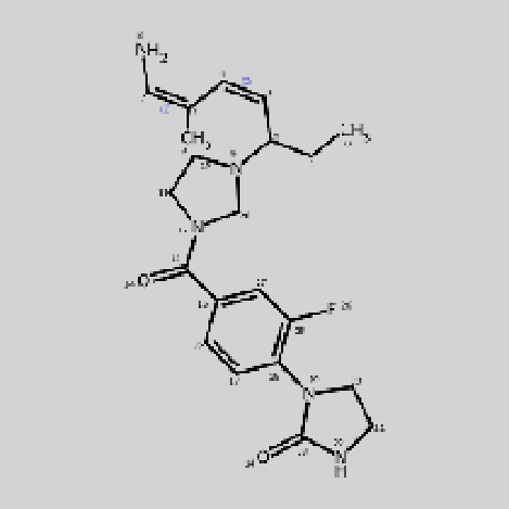 CCC(/C=C\C(C)=C/N)N1CCN(C(=O)c2ccc(N3CCNC3=O)c(F)c2)C1